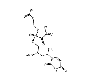 COC(COP(=O)(OCOC(=O)C(C)C)C(=O)C(=O)C(C)C)CC(C)n1ccc(=O)[nH]c1=O